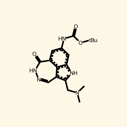 CN(C)Cc1[nH]c2cc(NC(=O)OC(C)(C)C)cc3c2c1C=NNC3=O